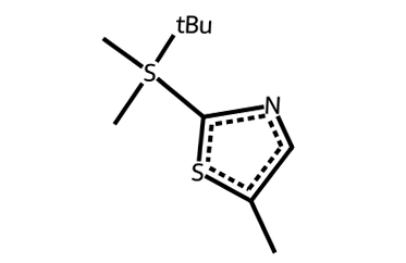 Cc1cnc(S(C)(C)C(C)(C)C)s1